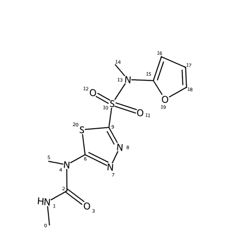 CNC(=O)N(C)c1nnc(S(=O)(=O)N(C)c2ccco2)s1